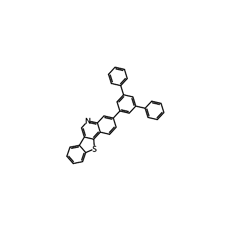 c1ccc(-c2cc(-c3ccccc3)cc(-c3ccc4c(c3)ncc3c5ccccc5sc43)c2)cc1